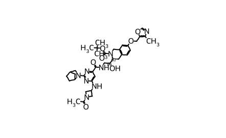 CC(=O)N1CC(Nc2cc(C(=O)NC[C@@H](O)[C@@H]3Cc4ccc(OCc5ocnc5C)cc4CN3C(=O)OC(C)(C)C)nc(N3CC4CCC3C4)n2)C1